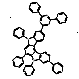 c1ccc(-c2ccc3c4c5c6ccc(-c7nc(-c8ccccc8)nc(-c8ccccc8)n7)cc6n(-c6ccccc6)c5cc(-c5ccccc5)c4n(-c4ccccc4)c3c2)cc1